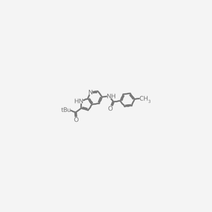 Cc1ccc(C(=O)Nc2cnc3[nH]c(C(=O)C(C)(C)C)cc3c2)cc1